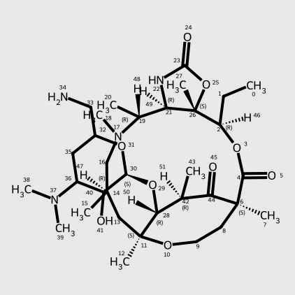 CC[C@H]1OC(=O)[C@@]2(C)CCO[C@@](C)(C[C@@H](C)CN(C)[C@H](C)[C@H]3NC(=O)O[C@@]31C)[C@H](O[C@@H]1OC(CN)CC(N(C)C)C1O)[C@@H](C)C2=O